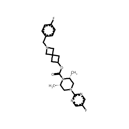 C[C@@H]1CN(c2ncc(F)cn2)C[C@H](C)N1C(=O)OC1CC2(C1)CN(Cc1ccc(F)cc1)C2